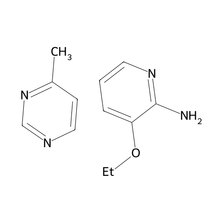 CCOc1cccnc1N.Cc1ccncn1